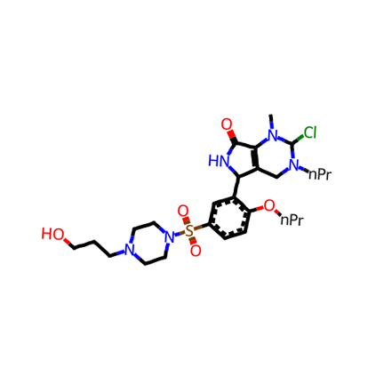 CCCOc1ccc(S(=O)(=O)N2CCN(CCCO)CC2)cc1C1NC(=O)C2=C1CN(CCC)C(Cl)N2C